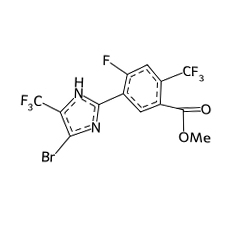 COC(=O)c1cc(-c2nc(Br)c(C(F)(F)F)[nH]2)c(F)cc1C(F)(F)F